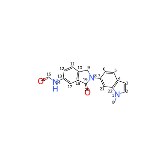 Cn1ccc2ccc(N3Cc4ccc(NC=O)cc4C3=O)cc21